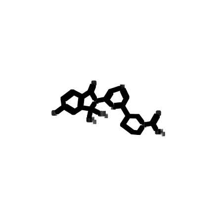 CC(=O)N1CCCC(c2cncc(N3C(=O)c4ccc(Cl)cc4C3(C)C)n2)C1